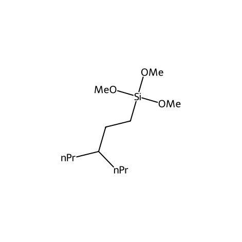 CCCC(CCC)CC[Si](OC)(OC)OC